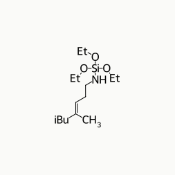 CCO[Si](NCCC=C(C)C(C)CC)(OCC)OCC